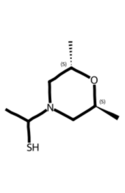 CC(S)N1C[C@H](C)O[C@@H](C)C1